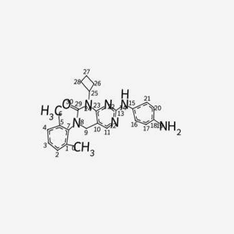 Cc1cccc(C)c1N1Cc2cnc(Nc3ccc(N)cc3)nc2N(C2CCC2)C1=O